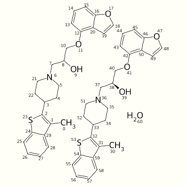 Cc1c(C2CCN(CC(O)COc3cccc4occc34)CC2)sc2ccccc12.Cc1c(C2CCN(C[C@H](O)COc3cccc4occc34)CC2)sc2ccccc12.O